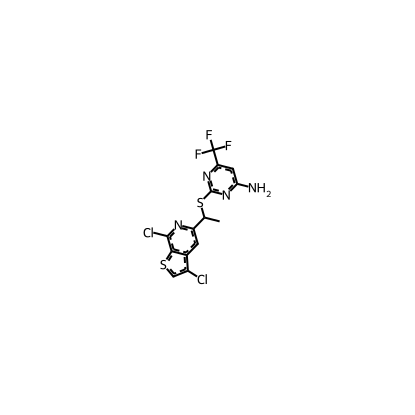 CC(Sc1nc(N)cc(C(F)(F)F)n1)c1cc2c(Cl)csc2c(Cl)n1